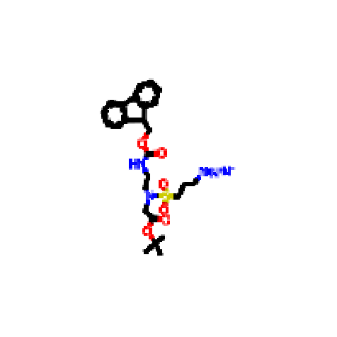 CC(C)(C)OC(=O)CN(CCNC(=O)OCC1c2ccccc2-c2ccccc21)S(=O)(=O)CCCN=[N+]=[N-]